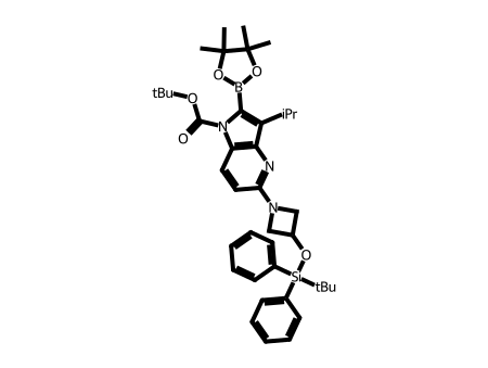 CC(C)c1c(B2OC(C)(C)C(C)(C)O2)n(C(=O)OC(C)(C)C)c2ccc(N3CC(O[Si](c4ccccc4)(c4ccccc4)C(C)(C)C)C3)nc12